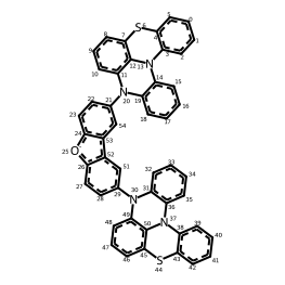 c1ccc2c(c1)Sc1cccc3c1N2c1ccccc1N3c1ccc2oc3ccc(N4c5ccccc5N5c6ccccc6Sc6cccc4c65)cc3c2c1